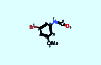 COc1cc(Br)cc(N=C=O)c1